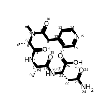 C[C@H](NC(=O)[C@H](C)N(C)C(=O)Cc1ccncc1)C(=O)N[C@@H](CC(N)=O)C(=O)O